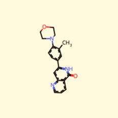 Cc1cc(-c2cc3ncccc3c(=O)[nH]2)ccc1N1CCOCC1